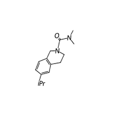 CC(C)c1ccc2c(c1)CCN(C(=O)N(C)C)C2